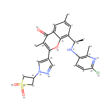 Cc1cc([C@@H](C)Nc2ccc(Cl)nc2C)c2oc(-c3cnn(C4CS(=O)(=O)C4)c3)c(C)c(=O)c2c1